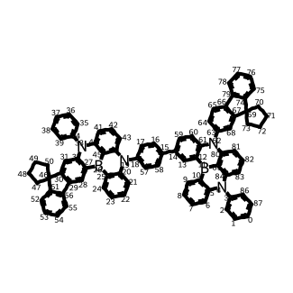 c1ccc(N2c3ccccc3B3c4cc(-c5ccc(N6c7ccccc7B7c8cc9c(cc8N(c8ccccc8)c8cccc6c87)C6(CCCC6)c6ccccc6-9)cc5)ccc4N(c4ccc5c(c4)C4(CCCC4)c4ccccc4-5)c4cccc2c43)cc1